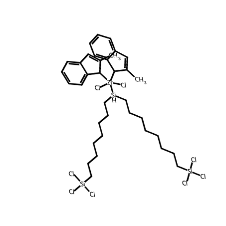 CC1=Cc2ccccc2[CH]1[Zr]([Cl])([Cl])([CH]1C(C)=Cc2ccccc21)[SiH](CCCCCCCC[Si](Cl)(Cl)Cl)CCCCCCCC[Si](Cl)(Cl)Cl